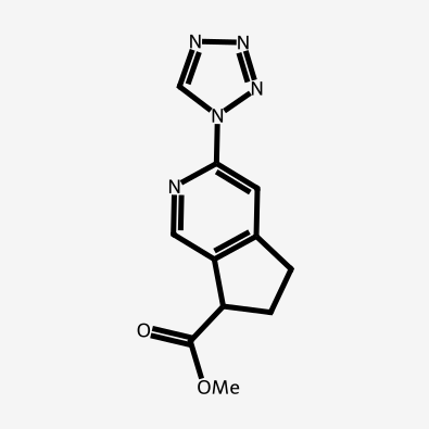 COC(=O)C1CCc2cc(-n3cnnn3)ncc21